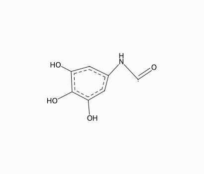 O=[C]Nc1cc(O)c(O)c(O)c1